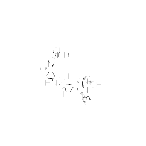 C[C@@H]1CC[C@H](C)N1c1nc(-c2ccc(NC(=O)Nc3ccc(C(=O)N4CCC(N(C)C)CC4)cc3)cc2)nc(N2CC3CCC(C2)O3)n1